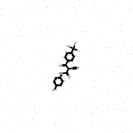 N#CC(C(=O)Nc1ccc(Cl)cc1)C(=O)c1ccc(C(F)(F)F)cc1